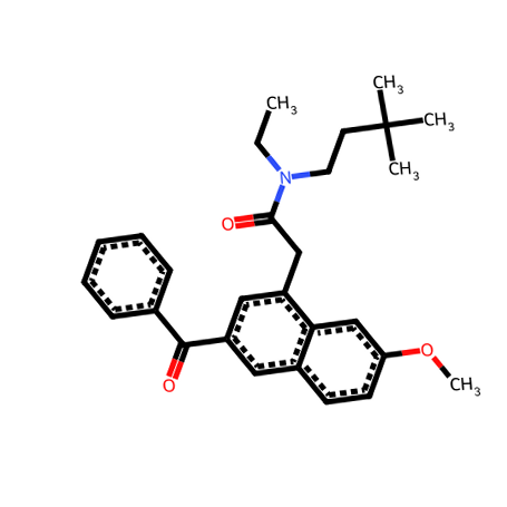 CCN(CCC(C)(C)C)C(=O)Cc1cc(C(=O)c2ccccc2)cc2ccc(OC)cc12